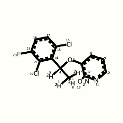 [2H]C([2H])([2H])[C@@]([2H])(Oc1cccnc1[N+](=O)[O-])c1c(Cl)ccc(F)c1Cl